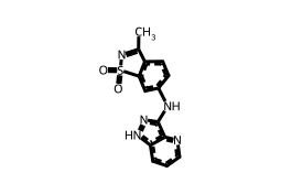 CC1=NS(=O)(=O)c2cc(Nc3n[nH]c4cccnc34)ccc21